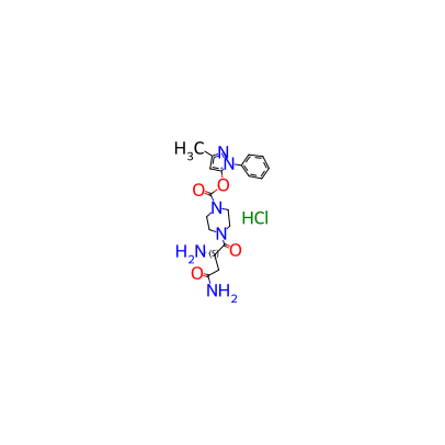 Cc1cc(OC(=O)N2CCN(C(=O)[C@@H](N)CC(N)=O)CC2)n(-c2ccccc2)n1.Cl